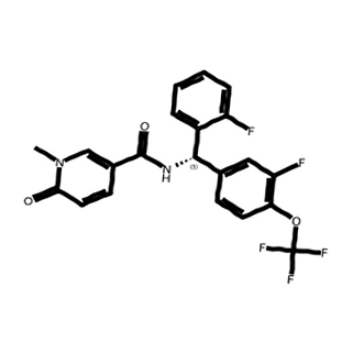 Cn1cc(C(=O)N[C@@H](c2ccc(OC(F)(F)F)c(F)c2)c2ccccc2F)ccc1=O